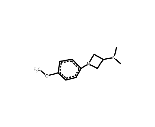 CN(C)C1CN(c2ccc(OC(F)(F)F)cc2)C1